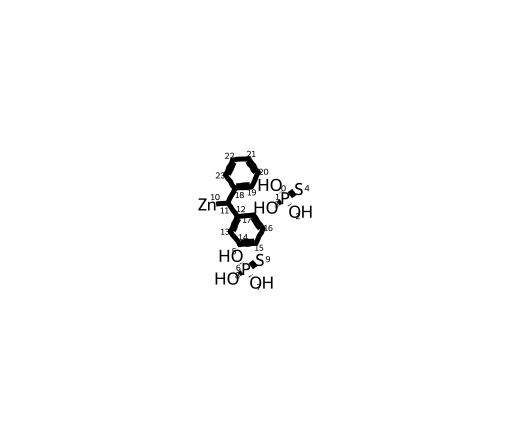 OP(O)(O)=S.OP(O)(O)=S.[Zn][CH](c1ccccc1)c1ccccc1